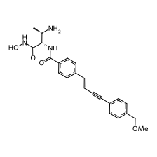 COCc1ccc(C#C/C=C/c2ccc(C(=O)N[C@H](C(=O)NO)[C@@H](C)N)cc2)cc1